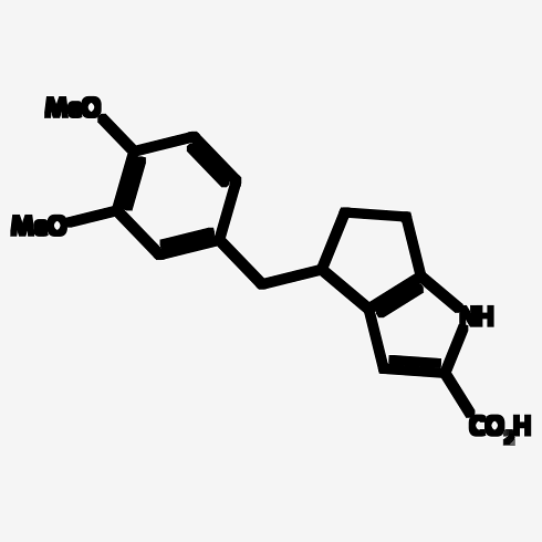 COc1ccc(CC2CCc3[nH]c(C(=O)O)cc32)cc1OC